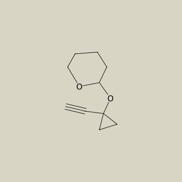 C#CC1(OC2CCCCO2)CC1